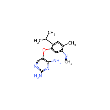 C=Nc1cc(Oc2cnc(N)nc2N)c(C(C)C)cc1C